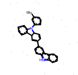 CC(C)(C)c1cccc(N2c3ccccc3C3C=C(c4ccc5[nH]c6ccccc6c5c4)C=CC32)c1